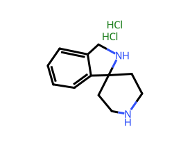 Cl.Cl.c1ccc2c(c1)CNC21CCNCC1